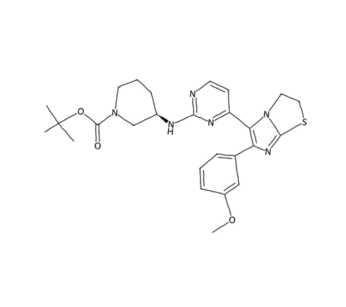 COc1cccc(-c2nc3n(c2-c2ccnc(N[C@@H]4CCCN(C(=O)OC(C)(C)C)C4)n2)CCS3)c1